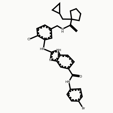 C=C(NCc1ccc(Cl)c(Nc2nc3cc(C(=O)Nc4ccc(Br)cc4)ccc3[nH]2)c1)C1(CC2CC2)CCCC1